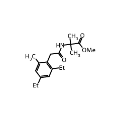 CCc1cc(C)c(CC(=O)NC(C)(C)C(=O)OC)c(CC)c1